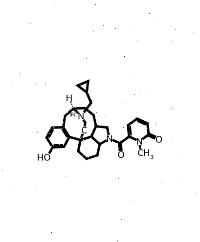 Cn1c(C(=O)N2CC3CC[C@@H]4Cc5ccc(O)cc5C5(CCCC2C35)CCN4CC2CC2)cccc1=O